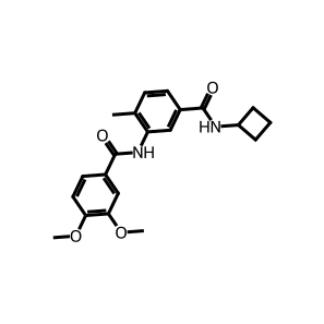 COc1ccc(C(=O)Nc2cc(C(=O)NC3CCC3)ccc2C)cc1OC